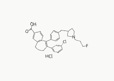 Cl.O=C(O)c1ccc2c(c1)CCCC(c1cccc(Cl)c1)=C2c1ccc(CC2CCN(CCCF)C2)cc1